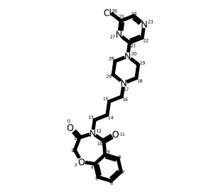 O=C1COc2ccccc2C(=O)N1CCCCN1CCN(c2cncc(Cl)n2)CC1